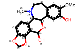 COc1cc2c(cc1O)C1OC(O)c3c(ccc4c3OCO4)C1N(C)CC2